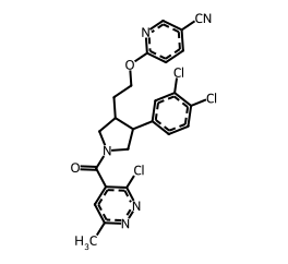 Cc1cc(C(=O)N2CC(CCOc3ccc(C#N)cn3)C(c3ccc(Cl)c(Cl)c3)C2)c(Cl)nn1